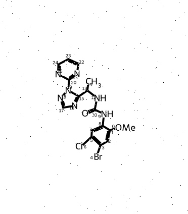 COc1cc(Br)c(Cl)cc1NC(=O)NC(C)c1ncnn1-c1ncccn1